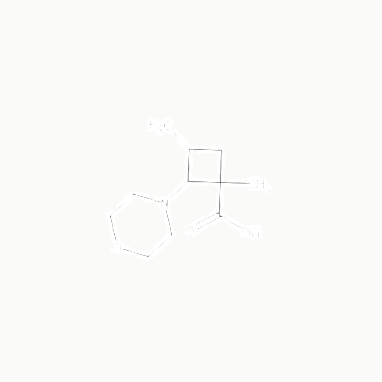 CC1CC(C)(C(=O)O)C1N1CCOCC1